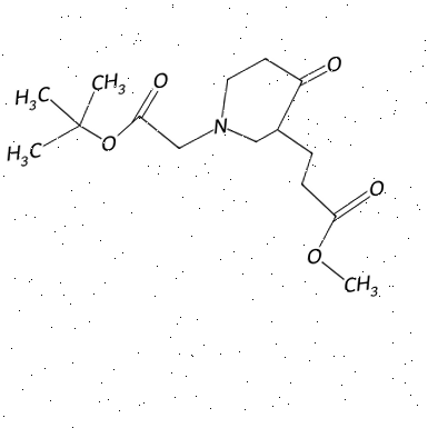 COC(=O)CCC1CN(CC(=O)OC(C)(C)C)CCC1=O